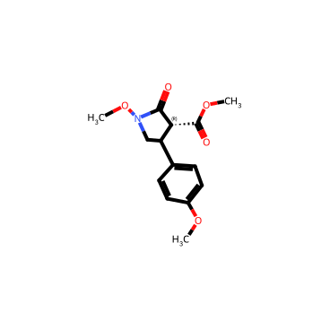 COC(=O)[C@H]1C(=O)N(OC)CC1c1ccc(OC)cc1